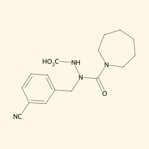 N#Cc1cccc(CN(NC(=O)O)C(=O)N2CCCCCC2)c1